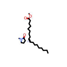 CCCCCCCC/C=C\CCCCCCCC(=O)OC.CN1CCCC1=O